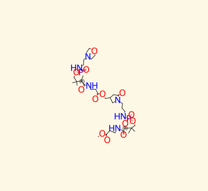 COC(=O)CCNC(=O)[C@@H]1OP(=O)(NCCCN2CC(COC(=O)CCNC(=O)[C@@H]3CP(=O)(NCCN4CCOCC4)OCC3(C)C)CC2=O)OCC1(C)C